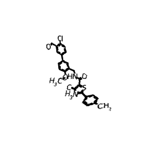 COc1ccc(-c2ccc(Cl)c(C=O)c2)cc1CNC(=O)c1sc(-c2ccc(C)cc2)nc1C